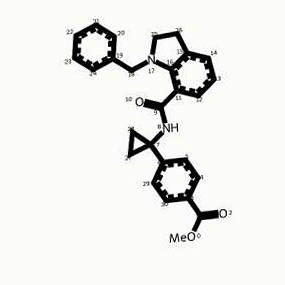 COC(=O)c1ccc(C2(NC(=O)c3cccc4c3N(Cc3ccccc3)CC4)CC2)cc1